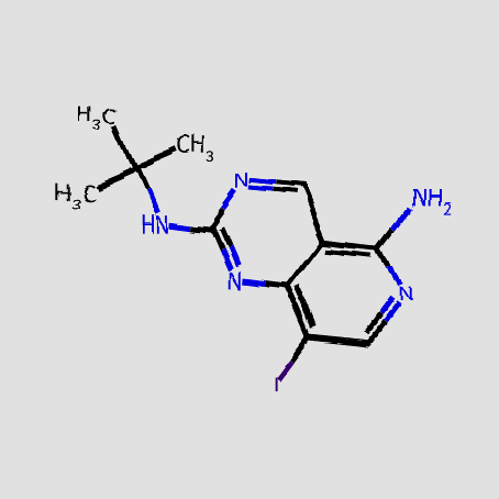 CC(C)(C)Nc1ncc2c(N)ncc(I)c2n1